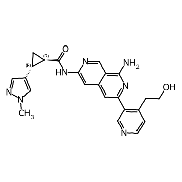 Cn1cc([C@@H]2C[C@H]2C(=O)Nc2cc3cc(-c4cnccc4CCO)nc(N)c3cn2)cn1